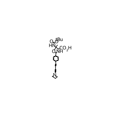 CC(C)(C)OC(=O)NC(C)(C)C(NC(=O)c1ccc(C#CC#CN2CCC2)cc1)C(=O)O